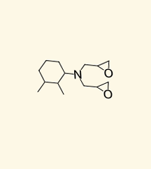 CC1CCCC(N(CC2CO2)CC2CO2)C1C